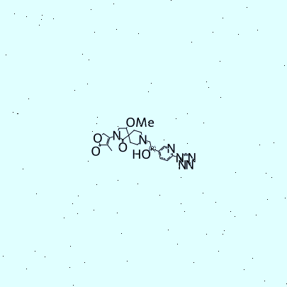 COC1CN(C2=C(C)C(=O)OC2)C(=O)C12CCN(C[C@H](O)c1ccc(-n3cnnn3)nc1)CC2